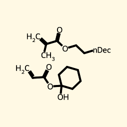 C=C(C)C(=O)OCCCCCCCCCCCC.C=CC(=O)OC1(O)CCCCC1